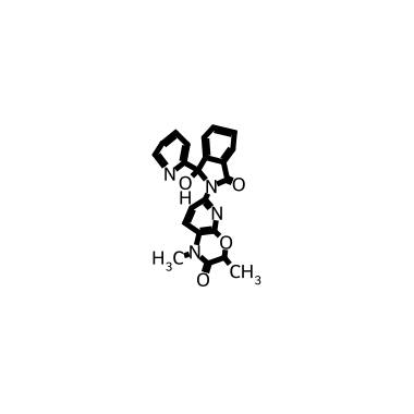 CC1Oc2nc(N3C(=O)c4ccccc4C3(O)c3ccccn3)ccc2N(C)C1=O